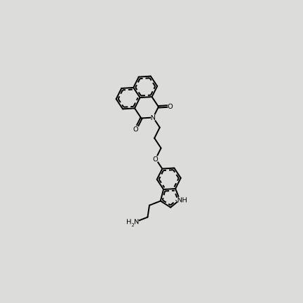 NCCc1c[nH]c2ccc(OCCCN3C(=O)c4cccc5cccc(c45)C3=O)cc12